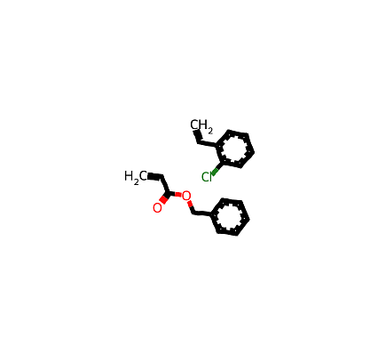 C=CC(=O)OCc1ccccc1.C=Cc1ccccc1Cl